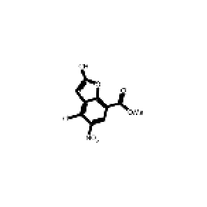 COC(=O)c1cc([N+](=O)[O-])c(Cl)c2cc(C)oc12